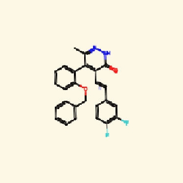 Cc1n[nH]c(=O)c(/C=C/c2ccc(F)c(F)c2)c1-c1ccccc1OCc1ccccc1